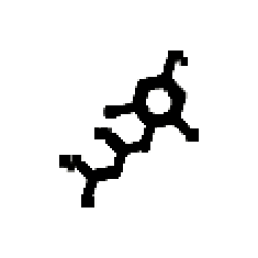 CC/C(N)=C/C(=N)Oc1c(Cl)cc(C(F)(F)F)cc1Cl